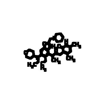 C=C1NC(C)=CC(C)=C1CNC(=C)c1c(CC)c(N(CC)C2CCOCC2)cc2oc(CN3CCCCC3)cc12